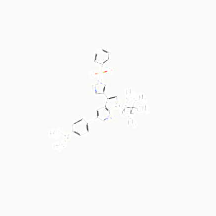 CN(C)c1ccc(-c2cnc3c(c2)c(-c2cnn(S(=O)(=O)c4ccccc4)c2)cn3[Si](C)(C)C(C)(C)C)cc1